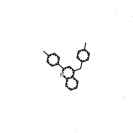 Cc1ccc(Cc2cc(-c3ccc(C)cc3)nc3ccccc23)cc1